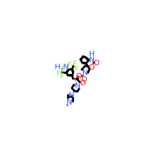 CN1CC2CC1CN2C1CCN(C(=O)[C@@H](Cc2cc(C(F)(F)F)c(N)c(C(F)(F)F)c2)OC(=O)N2CCC3(CC2)OC(=O)Nc2ccccc23)CC1